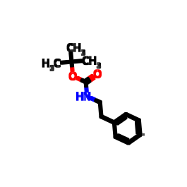 CC(C)(C)OC(=O)NCCc1cc[c]cc1